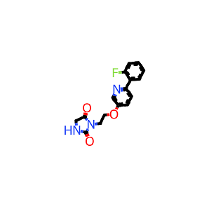 O=C1CNC(=O)N1CCOc1ccc(-c2ccccc2F)nc1